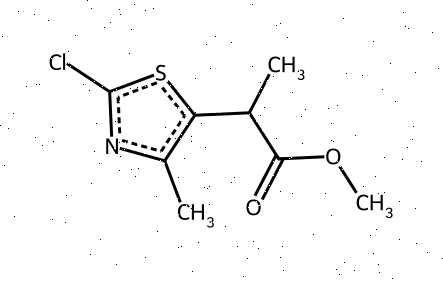 COC(=O)C(C)c1sc(Cl)nc1C